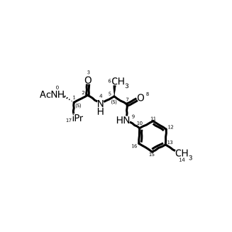 CC(=O)N[C@H](C(=O)N[C@@H](C)C(=O)Nc1ccc(C)cc1)C(C)C